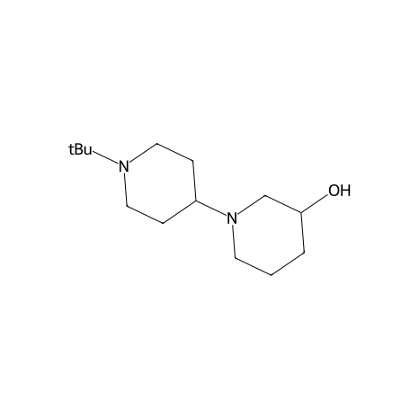 CC(C)(C)N1CCC(N2CCCC(O)C2)CC1